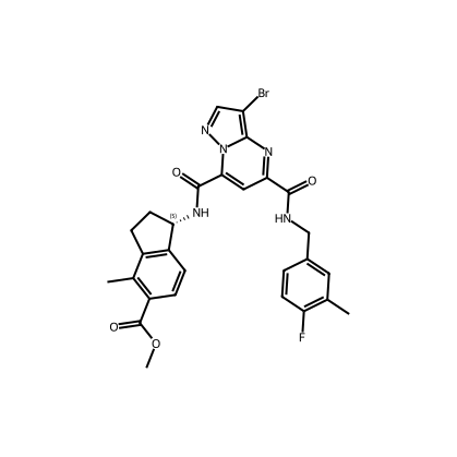 COC(=O)c1ccc2c(c1C)CC[C@@H]2NC(=O)c1cc(C(=O)NCc2ccc(F)c(C)c2)nc2c(Br)cnn12